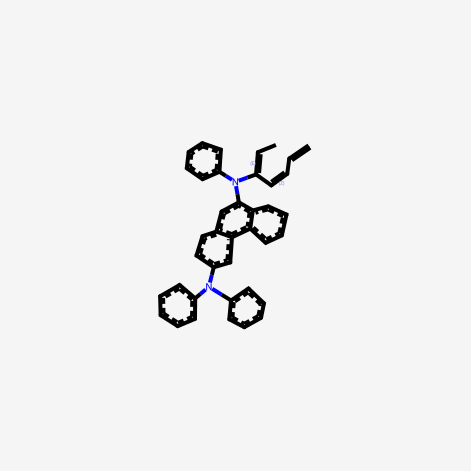 C=C/C=C\C(=C/C)N(c1ccccc1)c1cc2ccc(N(c3ccccc3)c3ccccc3)cc2c2ccccc12